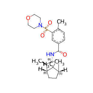 Cc1ccc(C(=O)N[C@@H]2C[C@@H]3CC[C@H]([C@H]2C)C3(C)C)cc1S(=O)(=O)N1CCOCC1